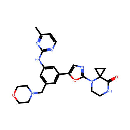 Cc1ccnc(Nc2cc(CN3CCOCC3)cc(-c3cnc(N4CCNC(=O)C45CC5)o3)c2)n1